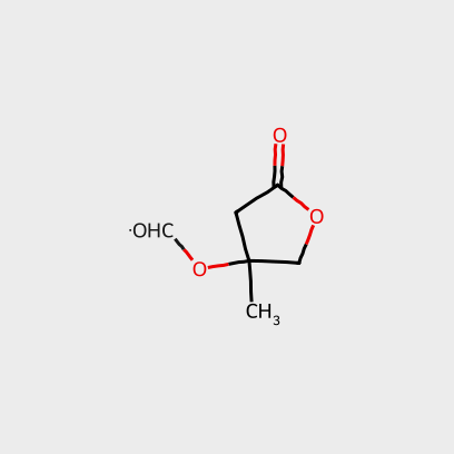 CC1(O[C]=O)COC(=O)C1